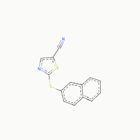 N#Cc1cnc(Sc2ccc3ccccc3c2)s1